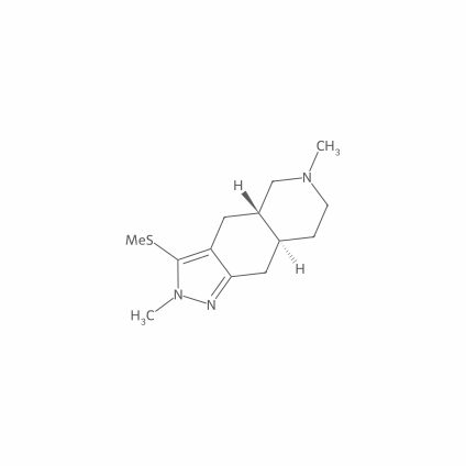 CSc1c2c(nn1C)C[C@@H]1CCN(C)C[C@H]1C2